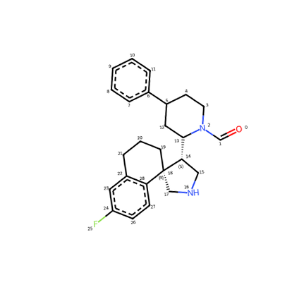 O=CN1CCC(c2ccccc2)CC1[C@@H]1CNC[C@]12CCCc1cc(F)ccc12